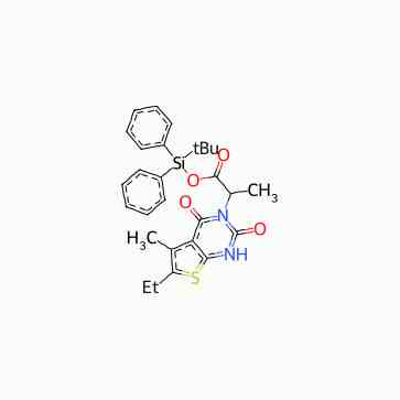 CCc1sc2[nH]c(=O)n(C(C)C(=O)O[Si](c3ccccc3)(c3ccccc3)C(C)(C)C)c(=O)c2c1C